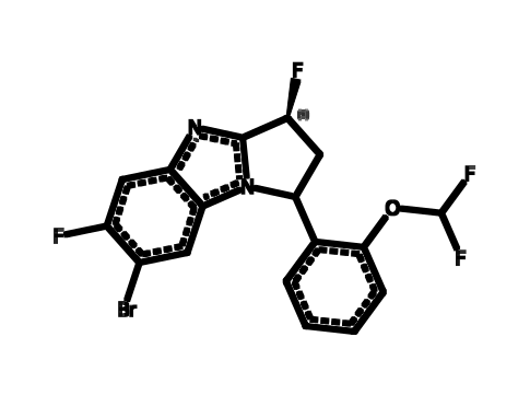 Fc1cc2nc3n(c2cc1Br)C(c1ccccc1OC(F)F)C[C@@H]3F